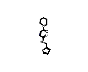 O=C(/C=C\C(=O)N1CCCCC1)NCc1cccs1